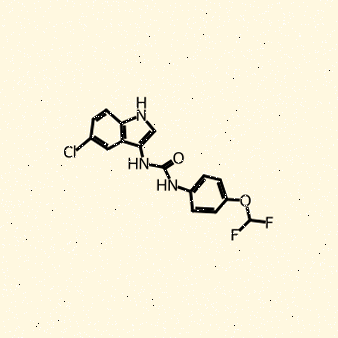 O=C(Nc1ccc(OC(F)F)cc1)Nc1c[nH]c2ccc(Cl)cc12